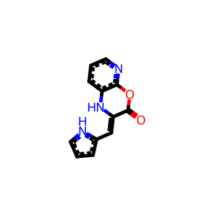 O=C1Oc2ncccc2NC1=Cc1ccc[nH]1